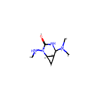 CNN1C(=O)NC(N(C)C)C2CC21